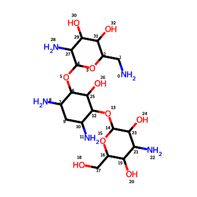 NCC1OC(OC2C(N)CC(N)C(OC3OC(CO)C(O)C(N)C3O)C2O)C(N)C(O)C1O